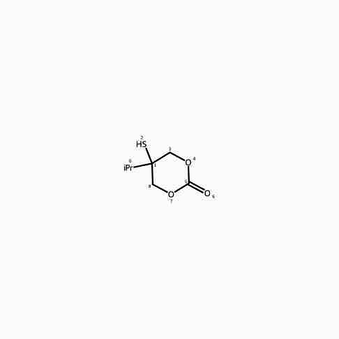 CC(C)C1(S)COC(=O)OC1